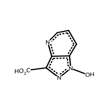 O=C(O)c1nn(O)c2cccnc12